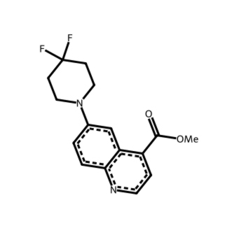 COC(=O)c1ccnc2ccc(N3CCC(F)(F)CC3)cc12